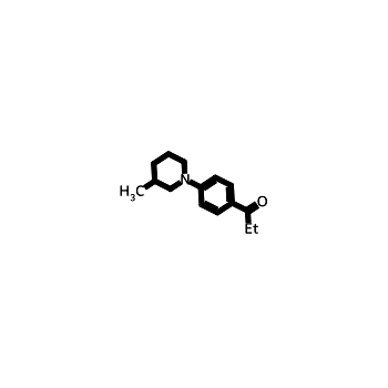 CCC(=O)c1ccc(N2CCCC(C)C2)cc1